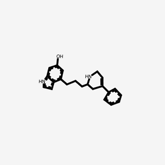 Oc1cc(CCCC2CC(c3ccccc3)=CCN2)c2cc[nH]c2c1